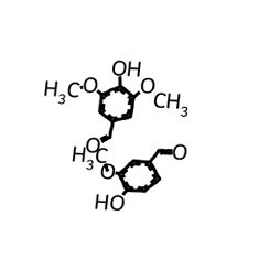 COc1cc(C=O)cc(OC)c1O.COc1cc(C=O)ccc1O